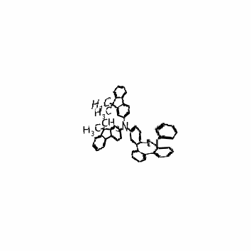 CC1(C)c2ccccc2-c2ccc(N(c3ccc4c(c3)-c3ccccc3-c3ccccc3N4c3ccccc3)c3ccc4c(c3)C(C)(C)c3ccccc3-4)cc21